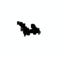 O=C(Nc1ccc(C(=O)N2CCc3cc(-c4nc5ccc(F)cc5[nH]4)sc3-c3ccc(F)cc32)cc1)c1cc(F)cnc1N1CC2(CCOCC2)C1